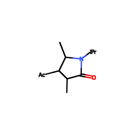 CC(=O)C1C(C)C(=O)N(C(C)C)C1C